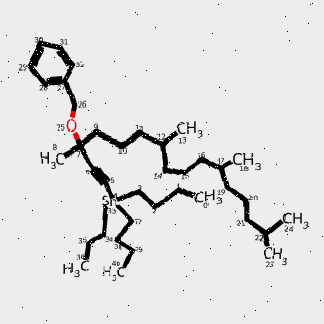 CCC[CH2][Sn]([C]#CC(C)(CCCC(C)CCCC(C)CCCC(C)C)OCc1ccccc1)([CH2]CCC)[CH2]CCC